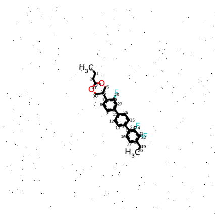 CCCC1OCC(c2ccc(-c3ccc(-c4ccc(CC)c(F)c4F)cc3)cc2F)CO1